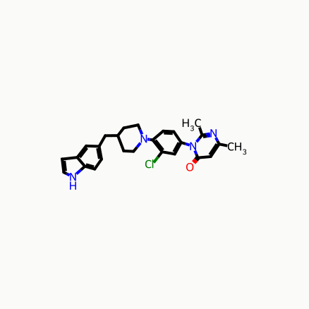 Cc1cc(=O)n(-c2ccc(N3CCC(Cc4ccc5[nH]ccc5c4)CC3)c(Cl)c2)c(C)n1